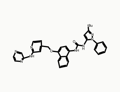 CC(C)(C)c1cc(NC(=O)Nc2ccc(OCc3ccnc(Nc4cnccn4)c3)c3ccccc23)n(-c2ccccc2)n1